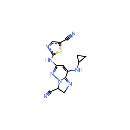 N#Cc1cnc(NC2=NN3C(=NCC3C#N)C(NC3CC3)=C2)s1